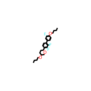 CCCCOc1ccc(-c2ccc(C3CCC(OCCCC)CO3)c(F)c2F)cc1F